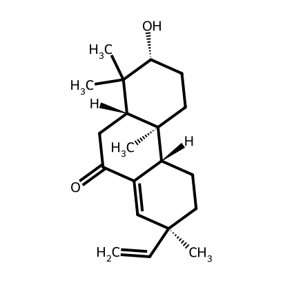 C=C[C@@]1(C)C=C2C(=O)C[C@@H]3C(C)(C)[C@H](O)CC[C@@]3(C)[C@@H]2CC1